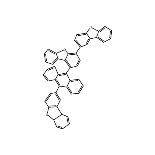 C1=CC2Sc3ccc(-c4c5ccccc5c(-c5ccc(-c6ccc7oc8ccccc8c7c6)c6oc7ccccc7c56)c5ccccc45)cc3C2C=C1